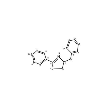 c1ccc(CC2CSC(c3ccnnc3)=N2)cc1